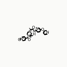 C[C@@H](C(=O)Nc1ccc(Oc2cccnc2)cn1)N1CCN(C(=O)c2cc[n+]([O-])cc2)C(C)(C)C1